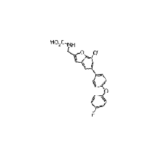 O=C(O)NCc1cc2cc(-c3ccc(Oc4ccc(F)cc4)cc3)cc(Cl)c2o1